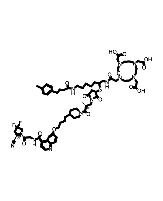 Cc1ccc(CCCC(=O)NCCCCCC(CNC(=O)CN2CCN(CC(=O)O)CCN(CC(=O)O)CCN(CC(=O)O)CC2)SC2CC(=O)N(C[C@@H](C)C(=O)N3CCC(CCCCOc4ccc5nccc(C(=O)NCC(=O)N6CC(F)(F)C[C@@H]6C#N)c5c4)CC3)C2=O)cc1